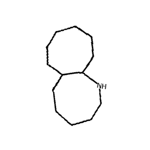 C1CCCC2NCCCCCC2CC1